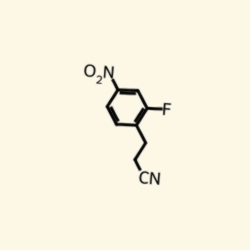 N#CCCc1ccc([N+](=O)[O-])cc1F